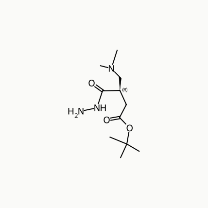 CN(C)C[C@@H](CC(=O)OC(C)(C)C)C(=O)NN